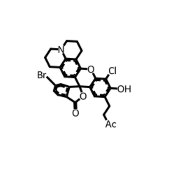 CC(=O)CCc1cc2c(c(Cl)c1O)Oc1c(cc3c4c1CCCN4CCC3)C21OC(=O)c2ccc(Br)cc21